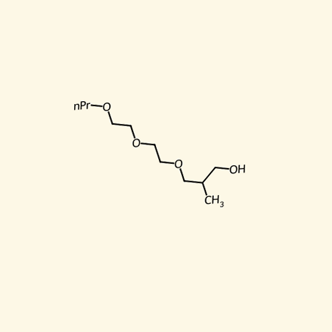 CCCOCCOCCOCC(C)CO